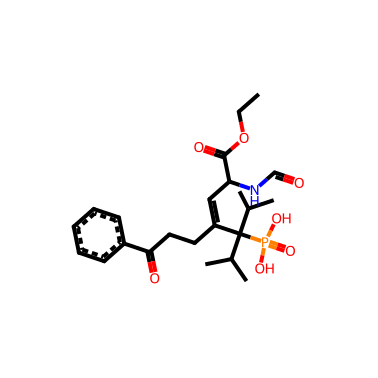 CCOC(=O)C(C=C(CCC(=O)c1ccccc1)C(C(C)C)(C(C)C)P(=O)(O)O)NC=O